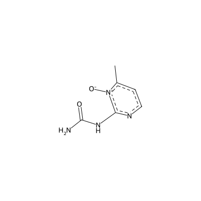 Cc1ccnc(NC(N)=O)[n+]1[O-]